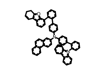 c1ccc2c3ccccc3n(-c3ccccc3-c3ccc(N(c4ccc(-c5ccccc5-c5cccc6c7c(oc56)CCC=C7)cc4)c4ccc5c(ccc6ccccc65)c4)cc3)c2c#1